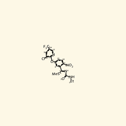 CCNC(=O)N=C(SC)c1cc(Oc2ncc(C(F)(F)F)cc2Cl)ccc1[N+](=O)[O-]